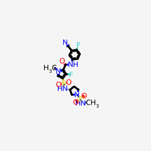 CNS(=O)(=O)N1CC[C@@H](NS(=O)(=O)c2cn(C)c(C(=O)Nc3ccc(F)c(C#N)c3)c2F)C1